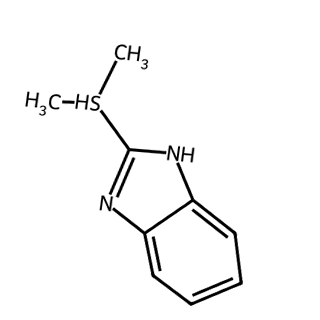 C[SH](C)c1nc2ccccc2[nH]1